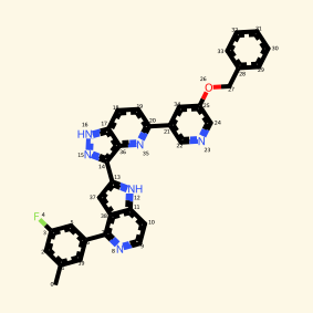 Cc1cc(F)cc(-c2nccc3[nH]c(-c4n[nH]c5ccc(-c6cncc(OCc7ccccc7)c6)nc45)cc23)c1